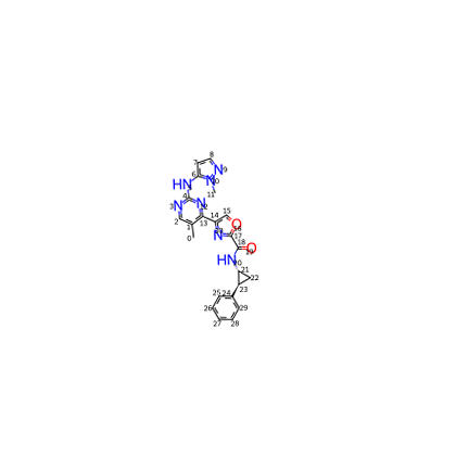 Cc1cnc(Nc2ccnn2C)nc1-c1coc(C(=O)N[C@@H]2C[C@H]2c2ccccc2)n1